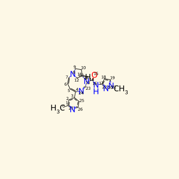 Cc1cc(C2=CC=CN3CC[C@@H](C3)N(C(=O)Nc3ccn(C)n3)C=N2)ccn1